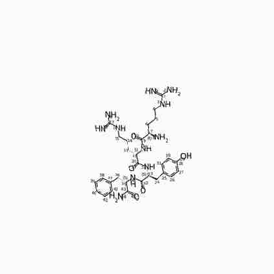 N=C(N)NCCC[C@@H](N)C(=O)N[C@@H](CCCNC(=N)N)C(=O)N[C@@H](Cc1ccc(O)cc1)C(=O)N[C@@H](Cc1ccccc1)C(N)=O